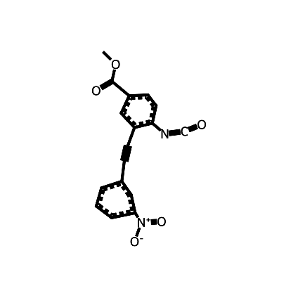 COC(=O)c1ccc(N=C=O)c(C#Cc2cccc([N+](=O)[O-])c2)c1